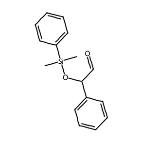 C[Si](C)(OC(C=O)c1ccccc1)c1ccccc1